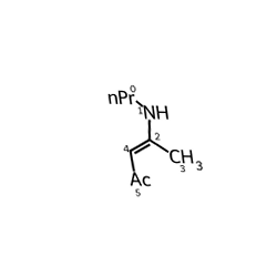 CCCNC(C)=CC(C)=O